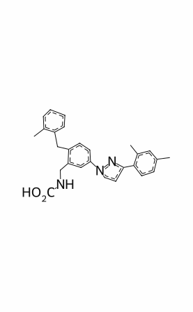 Cc1ccc(-c2ccn(-c3ccc(Cc4ccccc4C)c(CNC(=O)O)c3)n2)c(C)c1